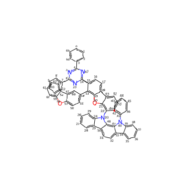 c1ccc(-c2nc(-c3ccccc3)nc(-c3ccc4c(oc5c(-n6c7ccccc7c7ccc8c9ccccc9n(-c9ccccc9)c8c76)cccc54)c3-c3ccc4oc5ccccc5c4c3)n2)cc1